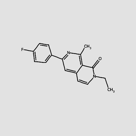 CCn1ccc2cc(-c3ccc(F)cc3)nc(C)c2c1=O